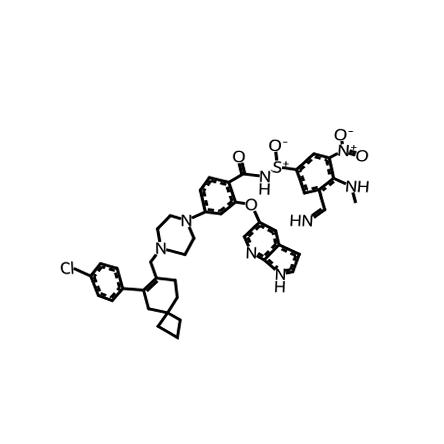 CNc1c(C=N)cc([S+]([O-])NC(=O)c2ccc(N3CCN(CC4=C(c5ccc(Cl)cc5)CC5(CCC5)CC4)CC3)cc2Oc2cnc3[nH]ccc3c2)cc1[N+](=O)[O-]